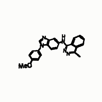 COc1ccc(-n2cnc3cc(Nc4nnc(C)c5ccccc45)ccc32)cc1